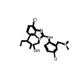 CCC(CC)c1ccc(Cl)c2nc(Nc3ccc(Cl)cc3CN(C)C)n(CCO)c12